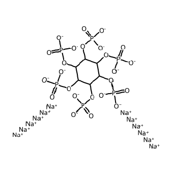 O=P([O-])([O-])OC1C(OP(=O)([O-])[O-])C(OP(=O)([O-])[O-])C(OP(=O)([O-])[O-])C(OP(=O)([O-])[O-])C1OP(=O)([O-])[O-].[Na+].[Na+].[Na+].[Na+].[Na+].[Na+].[Na+].[Na+].[Na+].[Na+].[Na+].[Na+]